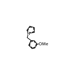 COc1cccc(Cn2cccc2)c1